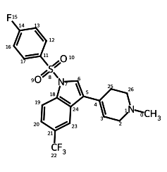 CN1CC=C(c2cn(S(=O)(=O)c3ccc(F)cc3)c3ccc(C(F)(F)F)cc23)CC1